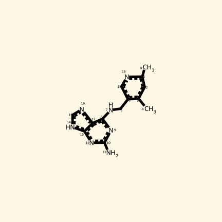 Cc1cc(C)c(CNc2nc(N)nc3[nH]cnc23)cn1